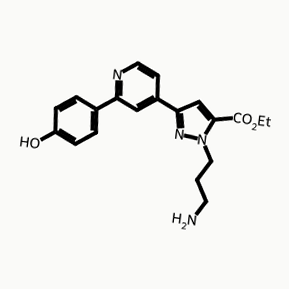 CCOC(=O)c1cc(-c2ccnc(-c3ccc(O)cc3)c2)nn1CCCN